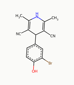 CC1=C(C#N)C(c2ccc(O)c(Br)c2)C(C#N)=C(C)N1